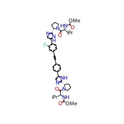 COC(=O)N[C@H](C(=O)N1CCC[C@H]1c1ncc(-c2ccc(C#Cc3ccc(-c4cnc([C@@H]5CCCN5C(=O)[C@@H](NC(=O)OC)C(C)C)[nH]4)c(F)c3)cc2)[nH]1)C(C)C